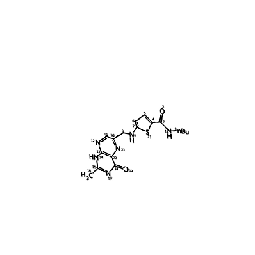 CCCCNC(=O)c1ccc(NCc2cnc3[nH]c(C)nc(=O)c3n2)s1